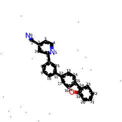 N#Cc1ccnc(-c2cccc(-c3ccc4c(c3)oc3ccccc34)c2)c1